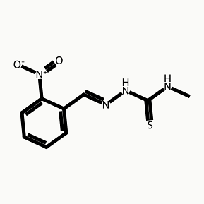 CNC(=S)N/N=C/c1ccccc1[N+](=O)[O-]